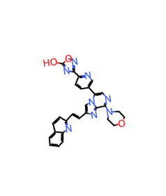 Oc1nc(-c2ccc(-c3cnc(N4CCOCC4)c4nc(C=Cc5ccc6ccccc6n5)cn34)cn2)no1